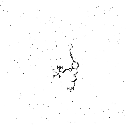 CCCC#Cc1ccc(/C=N/C=C(\C)CN)c(O/C=C/C(=N)C(F)(F)F)c1